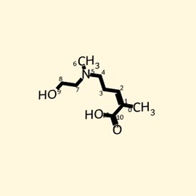 CC(=CCCN(C)CCO)C(=O)O